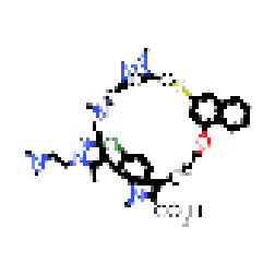 Cc1c2c(nn1CCN(C)C)CN(C)Cc1cc(n(C)n1)CSc1cc(c3ccccc3c1)OCCCc1c(C(=O)O)n(C)c3c-2c(Cl)ccc13